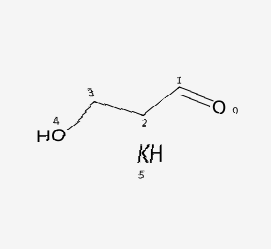 O=CCCO.[KH]